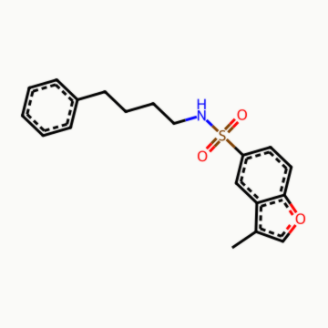 Cc1coc2ccc(S(=O)(=O)NCCCCc3ccccc3)cc12